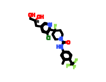 Cc1cc(NC(=O)N2CCC(F)(c3ncc(C[C@@H](O)CO)cc3Cl)CC2)ccc1C(F)(F)F